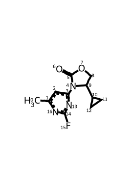 Cc1cc(N2C(=O)OCC2C2CC2)nc(F)n1